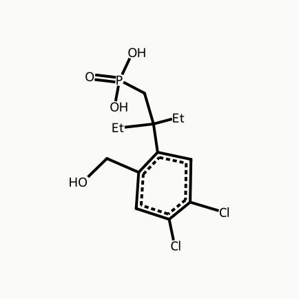 CCC(CC)(CP(=O)(O)O)c1cc(Cl)c(Cl)cc1CO